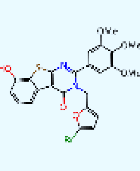 COc1cc(-c2nc3sc4c(O)cccc4c3c(=O)n2Cc2ccc(Br)o2)cc(OC)c1OC